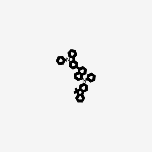 CC1(C)c2ccccc2C2C=CC(N(c3ccccc3)c3cccc4c(-c5ccc6c(c5)c5ccccc5n6-c5ccccc5)cccc34)=CC21